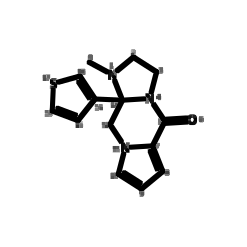 CN1CCN2C(=O)c3cccn3CC12c1ccsc1